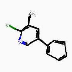 Cc1cc(-c2ccccc2)cnc1Cl